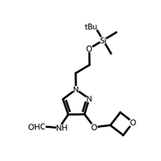 CC(C)(C)[Si](C)(C)OCCn1cc(NC=O)c(OC2COC2)n1